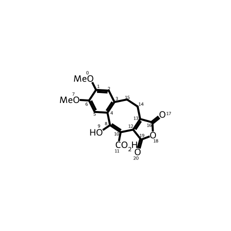 COc1cc2c(cc1OC)C(O)=C(C(=O)O)C1=C(CC2)C(=O)OC1=O